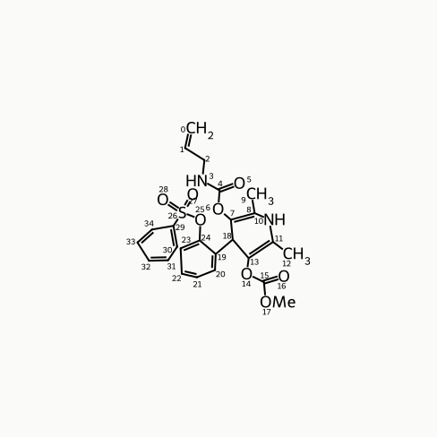 C=CCNC(=O)OC1=C(C)NC(C)=C(OC(=O)OC)C1c1ccccc1OS(=O)(=O)c1ccccc1